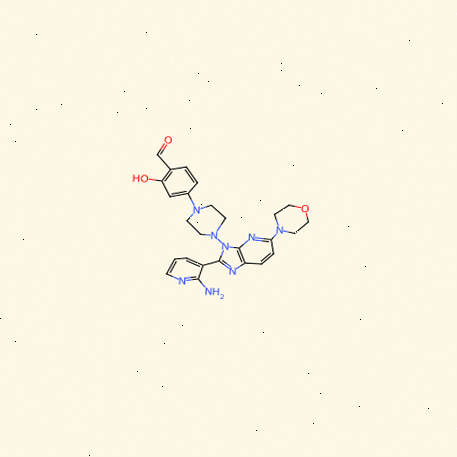 Nc1ncccc1-c1nc2ccc(N3CCOCC3)nc2n1N1CCN(c2ccc(C=O)c(O)c2)CC1